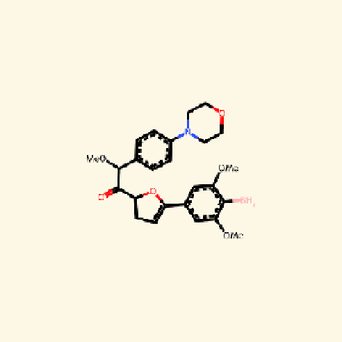 Bc1c(OC)cc(C2=CCC(C(=O)C(OC)c3ccc(N4CCOCC4)cc3)O2)cc1OC